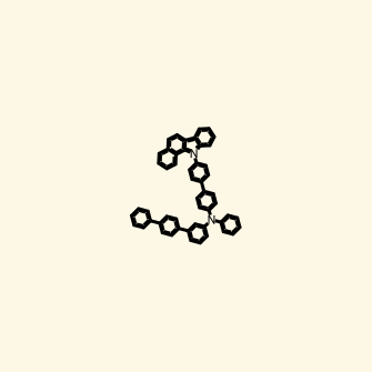 c1ccc(-c2ccc(-c3cccc(N(c4ccccc4)c4ccc(-c5ccc(-n6c7ccccc7c7ccc8ccccc8c76)cc5)cc4)c3)cc2)cc1